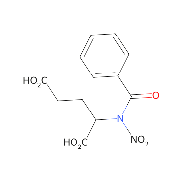 O=C(O)CCC(C(=O)O)N(C(=O)c1ccccc1)[N+](=O)[O-]